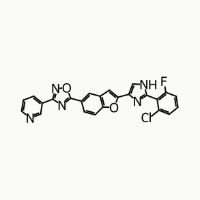 Fc1cccc(Cl)c1-c1nc(-c2cc3cc(-c4nc(-c5cccnc5)no4)ccc3o2)c[nH]1